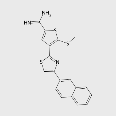 CSc1sc(C(=N)N)cc1-c1nc(-c2ccc3ccccc3c2)cs1